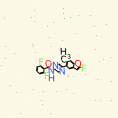 Cc1cc2oc(F)cc2cc1-c1cnc(NC(=O)c2c(F)cccc2F)cn1